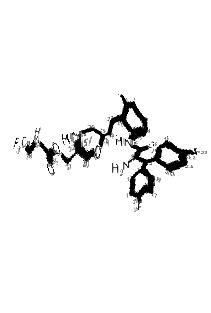 Cc1cccc(NC(=O)[C@@H](N)C(c2ccc(F)cc2)c2ccc(F)cc2)c1CC[C@@H]1CN[C@H](COC(=O)NCC(F)(F)F)CO1